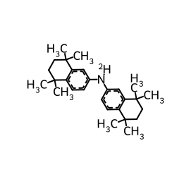 [2H]N(c1ccc2c(c1)C(C)(C)CCC2(C)C)c1ccc2c(c1)C(C)(C)CCC2(C)C